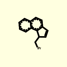 CC(C)C[C]1C=Cc2ccc3ccccc3c21